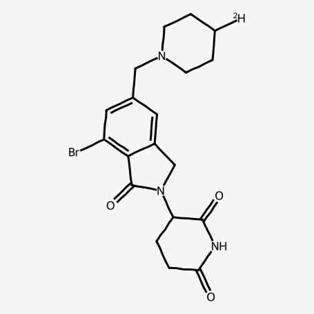 [2H]C1CCN(Cc2cc(Br)c3c(c2)CN(C2CCC(=O)NC2=O)C3=O)CC1